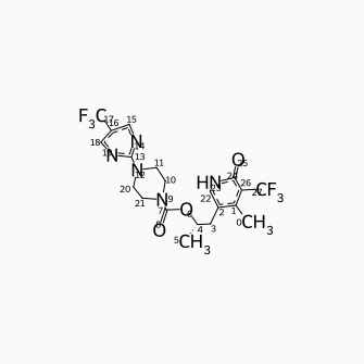 Cc1c(C[C@H](C)OC(=O)N2CCN(c3ncc(C(F)(F)F)cn3)CC2)c[nH]c(=O)c1C(F)(F)F